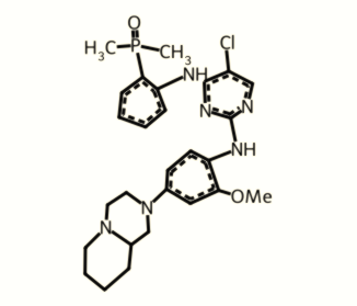 COc1cc(N2CCN3CCCCC3C2)ccc1Nc1ncc(Cl)c(Nc2ccccc2P(C)(C)=O)n1